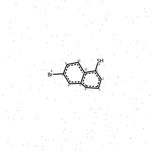 Sc1cccc2cc(Br)ccc12